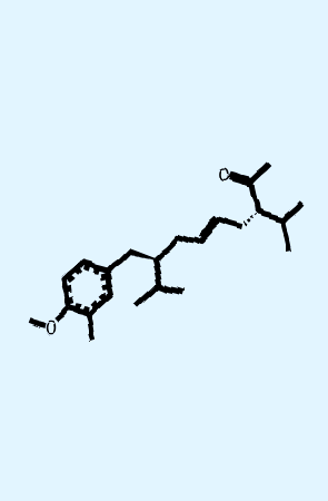 COc1ccc(C[C@@H](C/C=C/C[C@H](C(C)=O)C(C)C)C(C)C)cc1C